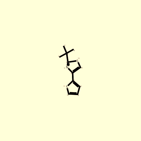 CC(C)(C)c1nc(-c2cccs2)cs1